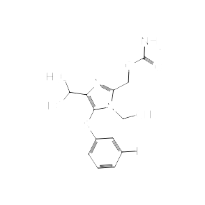 CCn1c(COC(N)=O)nc(C(C)C)c1Sc1cccc(F)c1